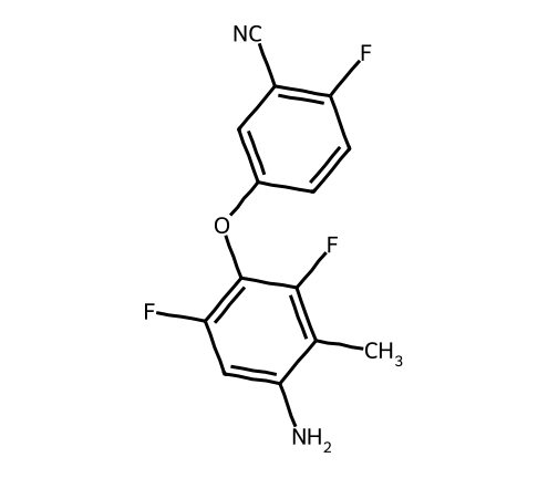 Cc1c(N)cc(F)c(Oc2ccc(F)c(C#N)c2)c1F